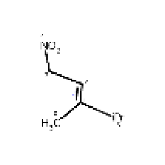 C/C(=C\C[N+](=O)[O-])C(C)C